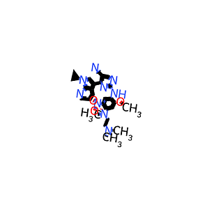 COc1cc(N(C)CCN(C)C)c([N+](=O)[O-])cc1Nc1ncc(C#N)c(-c2cn(C3CC3)c3ncccc23)n1